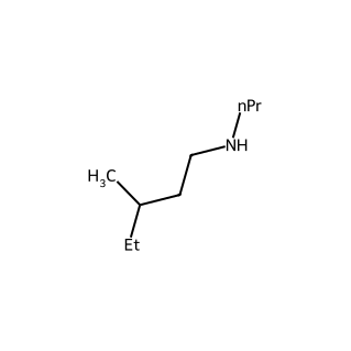 CCCNCCC(C)CC